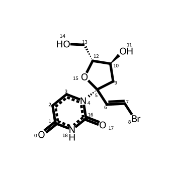 O=c1ccn([C@@]2(C=CBr)C[C@H](O)[C@@H](CO)O2)c(=O)[nH]1